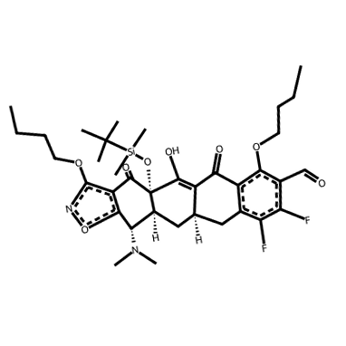 CCCCOc1noc2c1C(=O)[C@@]1(O[Si](C)(C)C(C)(C)C)C(O)=C3C(=O)c4c(c(F)c(F)c(C=O)c4OCCCC)C[C@H]3C[C@H]1[C@@H]2N(C)C